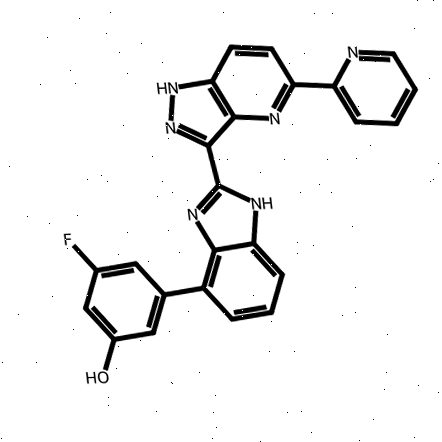 Oc1cc(F)cc(-c2cccc3[nH]c(-c4n[nH]c5ccc(-c6ccccn6)nc45)nc23)c1